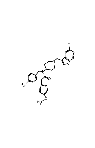 COc1ccc(CC(=O)N(Cc2ccc(C)cc2)C2CCN(Cc3csc4ccc(Cl)cc34)CC2)cc1